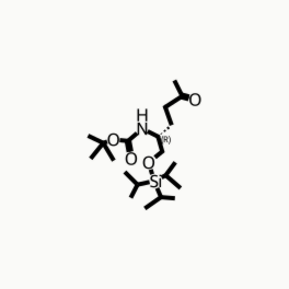 CC(=O)CC[C@H](CO[Si](C(C)C)(C(C)C)C(C)C)NC(=O)OC(C)(C)C